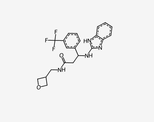 O=C(CC(Nc1nc2ccccc2[nH]1)c1cccc(C(F)(F)F)c1)NCC1COC1